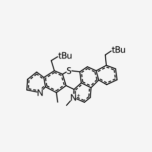 Cc1c2c(c(CC(C)(C)C)c3cccnc13)Sc1cc3c(CC(C)(C)C)cccc3c3cc[n+](C)c-2c13